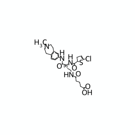 CN1CCc2ccc(NC(=O)[C@@H](CCNC(=O)CCCC(=O)O)NC(=O)C3CC=C(Cl)S3)cc2CC1